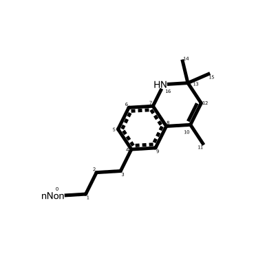 CCCCCCCCCCCCc1ccc2c(c1)C(C)=CC(C)(C)N2